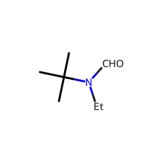 [CH2]CN(C=O)C(C)(C)C